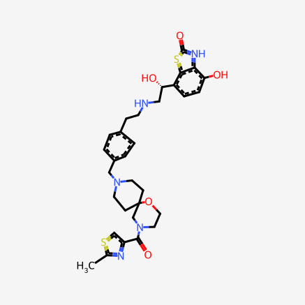 Cc1nc(C(=O)N2CCOC3(CCN(Cc4ccc(CCNC[C@H](O)c5ccc(O)c6[nH]c(=O)sc56)cc4)CC3)C2)cs1